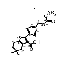 CC1(C)CCc2sc(-c3ccc(CNC(=O)ON)cc3)c(C(=O)O)c2C1